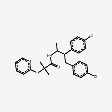 CC(NC(=O)C(C)(C)Oc1ccccn1)C(Cc1ccc(Cl)cc1)c1ccc(Cl)cc1